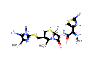 CCOC(=O)c1nc(SCC2=C(C(=O)O)N3C(=O)[C@@H](NC(=O)/C(=N\OC)c4csc(N)n4)[C@@H]3SC2)n(C)c1N